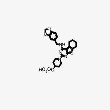 O=C(O)OC1CCN(c2nc(NCc3ccc4c(c3)OCO4)c3c4c(sc3n2)CCCC4)CC1